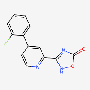 O=c1nc(-c2cc(-c3ccccc3F)ccn2)[nH]o1